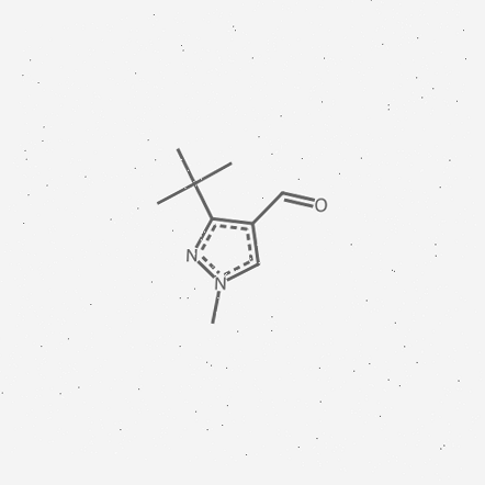 Cn1cc(C=O)c(C(C)(C)C)n1